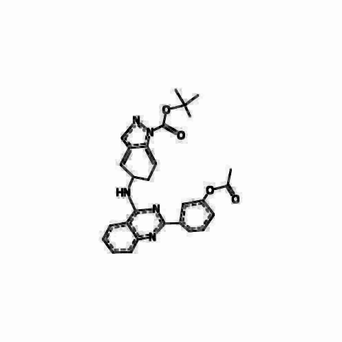 CC(=O)Oc1cccc(-c2nc(NC3C=c4cnn(C(=O)OC(C)(C)C)c4=CC3)c3ccccc3n2)c1